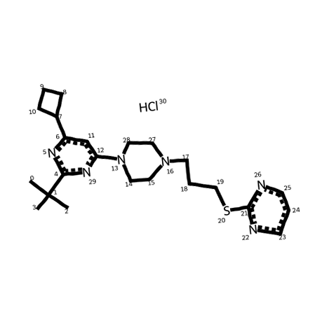 CC(C)(C)c1nc(C2CCC2)cc(N2CCN(CCCSc3ncccn3)CC2)n1.Cl